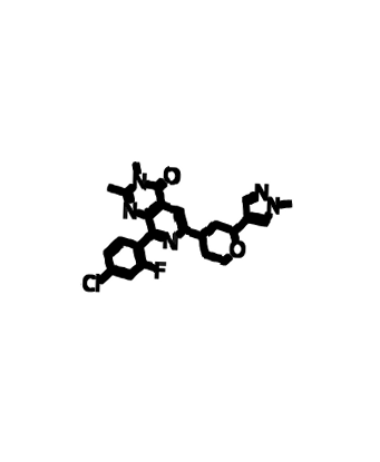 Cc1nc2c(-c3ccc(Cl)cc3F)nc(C3CCOC(c4cnn(C)c4)C3)cc2c(=O)n1C